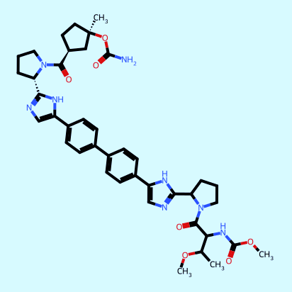 COC(=O)NC(C(=O)N1CCCC1c1ncc(-c2ccc(-c3ccc(-c4cnc([C@@H]5CCCN5C(=O)[C@H]5CC[C@@](C)(OC(N)=O)C5)[nH]4)cc3)cc2)[nH]1)C(C)OC